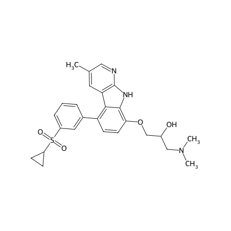 Cc1cnc2[nH]c3c(OCC(O)CN(C)C)ccc(-c4cccc(S(=O)(=O)C5CC5)c4)c3c2c1